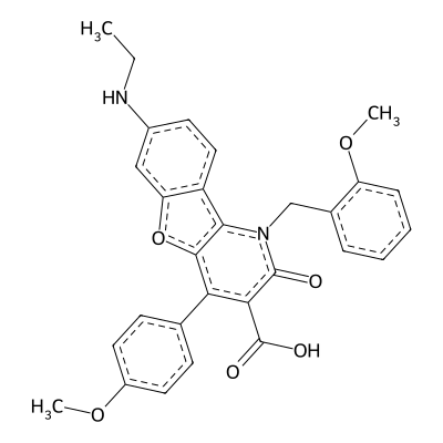 CCNc1ccc2c(c1)oc1c(-c3ccc(OC)cc3)c(C(=O)O)c(=O)n(Cc3ccccc3OC)c12